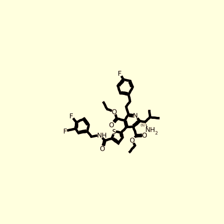 CCOC(=O)c1c(CCc2ccc(F)cc2)nc([C@@H](N)C(C)C)c(C(=O)OCC)c1-c1ccc(C(=O)NCc2ccc(F)c(F)c2)s1